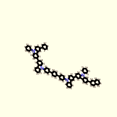 c1ccc(-c2ccc3c(c2)c2cc(-c4ccc5c(c4)c4ccccc4n5-c4ccc(-c5ccc(-c6ccc(-n7c8ccccc8c8cc(-c9ccc%10c(c9)c9ccc(-c%11ccc%12ccccc%12c%11)cc9n%10-c9ccccc9)ccc87)cc6)cc5)cc4)ccc2n3-c2ccccc2)cc1